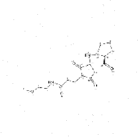 COCCNC(=O)CCN1C(=O)CC(NN2CCC[C@H]2C=O)C1=O